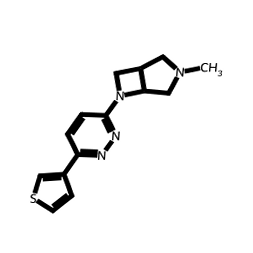 CN1CC2CN(c3ccc(-c4ccsc4)nn3)C2C1